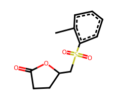 Cc1ccccc1S(=O)(=O)CC1CCC(=O)O1